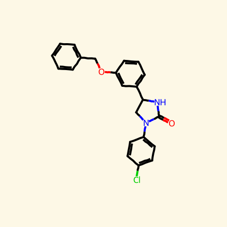 O=C1NC(c2cccc(OCc3ccccc3)c2)CN1c1ccc(Cl)cc1